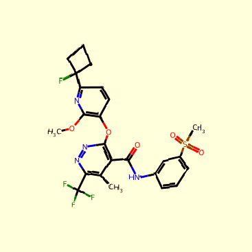 COc1nc(C2(F)CCC2)ccc1Oc1nnc(C(F)(F)F)c(C)c1C(=O)Nc1cccc(S(C)(=O)=O)c1